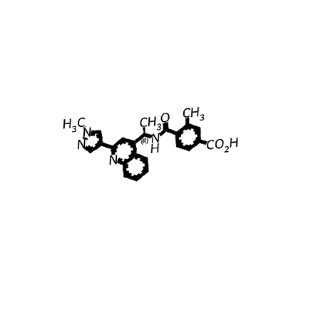 Cc1cc(C(=O)O)ccc1C(=O)N[C@H](C)c1cc(-c2cnn(C)c2)nc2ccccc12